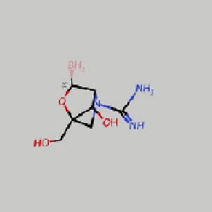 B[C@@H]1OC2(CO)CN(C(=N)N)C1C2O